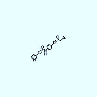 O=C(CC1CC1)N1CC(c2ccc(NC(=O)N3CC(c4cccnc4)C3)cc2)C1